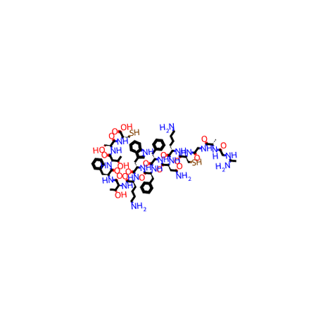 CC(N)NCC(=O)N[C@@H](C)C(=O)NCC(=O)N[C@@H](CS)C(=O)N[C@@H](CCCCN)C(=O)N[C@@H](CC(N)=O)C(=O)N[C@@H](Cc1ccccc1)C(=O)N[C@@H](Cc1ccccc1)C(=O)N[C@@H](Cc1c[nH]c2ccccc12)C(=O)N[C@@H](CCCCN)C(=O)N[C@H](C(=O)N[C@@H](Cc1ccccc1)C(=O)N[C@H](C(=O)N[C@@H](CO)C(=O)N[C@@H](CS)C(=O)O)C(C)O)C(C)O